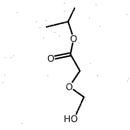 CC(C)OC(=O)COCO